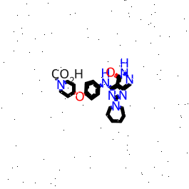 O=C(O)CN1CCC(Oc2ccc(Nc3nc(N4CCCCCC4)nc4cn[nH]c(=O)c34)cc2)CC1